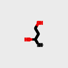 [BH]C(O)CCO